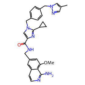 COc1cc(CNC(=O)c2cn(Cc3ccc(Cn4cc(C)cn4)cc3)c(C3CC3)n2)cc2ccnc(N)c12